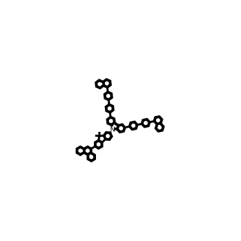 CC1(C)c2cc(-c3cc4ccccc4c4ccccc34)ccc2-c2ccc(-n3c4ccc(-c5ccc(-c6ccc(-c7cccc8ccccc78)cc6)cc5)cc4c4cc(-c5ccc(-c6ccc(-c7cccc8ccccc78)cc6)cc5)ccc43)cc21